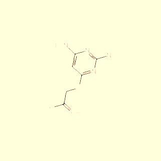 C=C(C)COc1cc(N)nc(N)n1